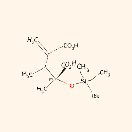 C=C(C(=O)O)C(C)[C@@](C)(O[Si](C)(C)C(C)(C)C)C(=O)O